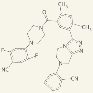 Cc1cc(C)c(-c2nnc3n2CCN(c2ccccc2C#N)C3)cc1C(=O)N1CCN(c2cc(F)c(C#N)cc2F)CC1